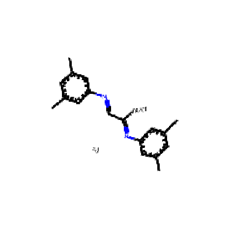 CCCCCCCCC(/C=N/c1cc(C)cc(C)c1)=N\c1cc(C)cc(C)c1.[Pd]